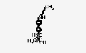 CCCCCCNCc1ccc(-c2ccc(C(=O)N[C@@H](CN)C(=O)NO)cc2)cc1